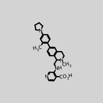 Cc1cc(N2CCCC2)ccc1-c1ccc2c(c1)CCN(C)C2CNc1cnccc1C(=O)O